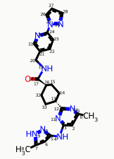 Cc1cc(Nc2cc(C)[nH]n2)nc([C@H]2CC[C@H](C(=O)NCc3ccc(-n4cccn4)nc3)CC2)n1